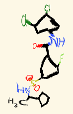 CC(NS(=O)(=O)c1ccc(F)c(C(=O)Nc2ccc(Cl)c(Cl)c2)c1)C1CCCC1